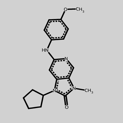 COc1ccc(Nc2cc3c(cn2)n(C)c(=O)n3C2CCCC2)cc1